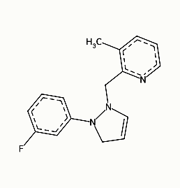 Cc1cccnc1CN1C=CCN1c1cccc(F)c1